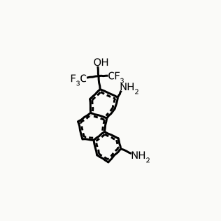 Nc1ccc2ccc3cc(C(O)(C(F)(F)F)C(F)(F)F)c(N)cc3c2c1